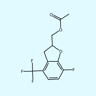 CC(=O)OCC1Cc2c(C(F)(F)F)ccc(F)c2O1